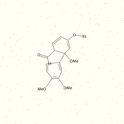 CCOC1=CC(OC)(c2ccc(OC)c(OC)c2)C(C(=O)CC)C=C1